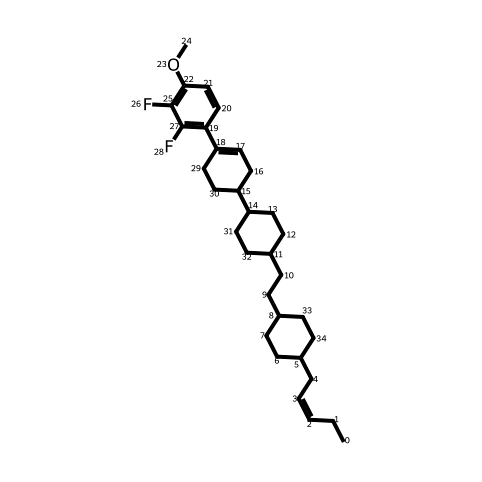 CC/C=C\CC1CCC(CCC2CCC(C3CC=C(c4ccc(OC)c(F)c4F)CC3)CC2)CC1